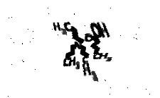 CCCCCC(=O)O.CCCCN(CCCC)CCCC